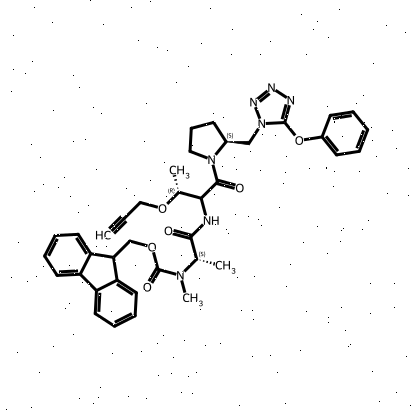 C#CCO[C@H](C)C(NC(=O)[C@H](C)N(C)C(=O)OCC1c2ccccc2-c2ccccc21)C(=O)N1CCC[C@H]1Cn1nnnc1Oc1ccccc1